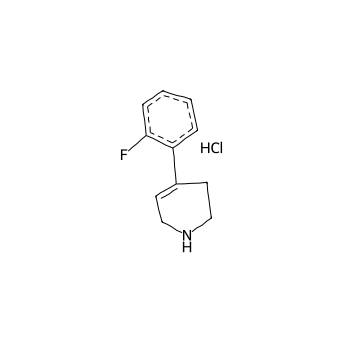 Cl.Fc1ccccc1C1=CCNCC1